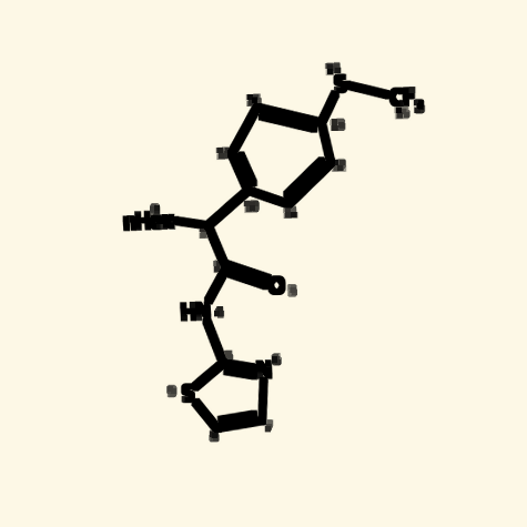 CCCCCCC(C(=O)Nc1nccs1)c1ccc(SC(F)(F)F)cc1